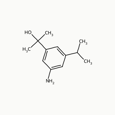 CC(C)c1cc(N)cc(C(C)(C)O)c1